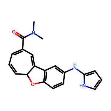 CN(C)C(=O)C1=CC=CC2Oc3ccc(Nc4ccc[nH]4)cc3C2=C1